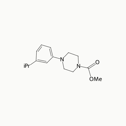 COC(=O)N1CCN(c2cccc(C(C)C)c2)CC1